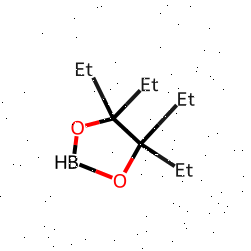 CCC1(CC)OBOC1(CC)CC